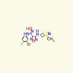 C[SH](#N)[C@H]1C[C@H](Nc2nonc2/C(=N/O)Nc2ccc(F)c(Br)c2)C1